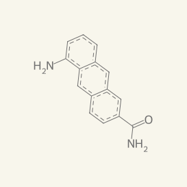 NC(=O)c1ccc2cc3c(N)cccc3cc2c1